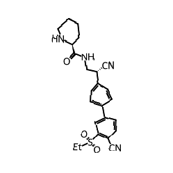 CCS(=O)(=O)c1cc(-c2ccc([C@@H](C#N)CNC(=O)[C@@H]3CCCCN3)cc2)ccc1C#N